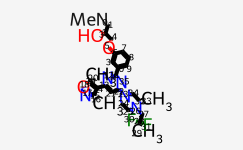 CNCC(O)COc1cccc(-c2nc(-c3c(C)noc3C)cc(N3CCN(CC(C)(F)F)[C@@H](C)C3)n2)c1